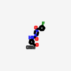 COC(=O)c1cccc(NC(=O)N2CCN(C(=O)c3cccc(F)c3)CC2)c1